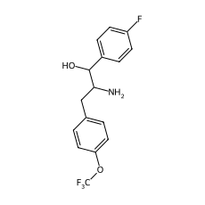 NC(Cc1ccc(OC(F)(F)F)cc1)C(O)c1ccc(F)cc1